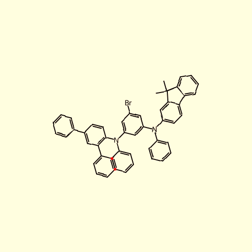 CC1(C)c2ccccc2-c2ccc(N(c3ccccc3)c3cc(Br)cc(N(c4ccccc4)c4ccc(-c5ccccc5)cc4-c4ccccc4)c3)cc21